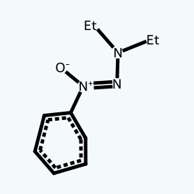 CCN(CC)N=[N+]([O-])c1ccccc1